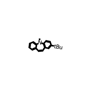 CN1c2ccccc2C=Cc2cc(C(C)(C)C)ccc21